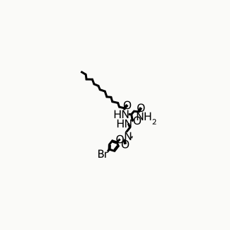 CCCCCCCCCCCCCC(=O)NC(CC(N)=O)C(=O)NCCN(C)C(=O)Oc1ccc(Br)cc1